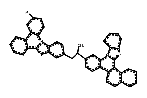 CC(C)c1ccc2c(c1)c1ccccc1c1nc3cc(CC(C)c4ccc5c6ccc7ccccc7c6c6nc7ccccc7n6c5c4)ccc3n21